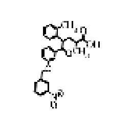 Cc1ccccc1C(CC(C)C(=O)O)C(=O)c1cccc(OCc2cccc([N+](=O)[O-])c2)c1